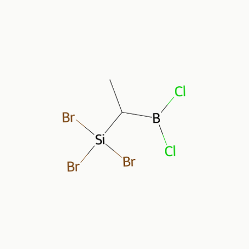 CC(B(Cl)Cl)[Si](Br)(Br)Br